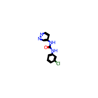 O=C(Nc1ccnnc1)Nc1cccc(Cl)c1